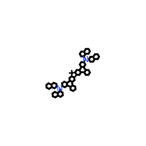 CC1(C)c2cc3c4ccc(N(c5ccc6ccccc6c5)c5cccc6ccccc56)cc4c4ccccc4c3cc2-c2cc3c4ccccc4c4cc(N(c5ccc6ccccc6c5)c5cccc6ccccc56)ccc4c3cc21